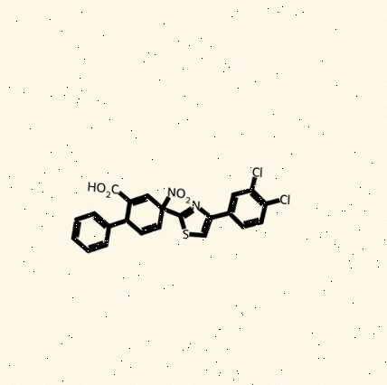 O=C(O)C1=CC(c2nc(-c3ccc(Cl)c(Cl)c3)cs2)([N+](=O)[O-])C=CC1c1ccccc1